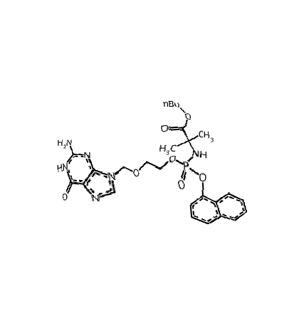 CCCCOC(=O)C(C)(C)NP(=O)(OCCOCn1cnc2c(=O)[nH]c(N)nc21)Oc1cccc2ccccc12